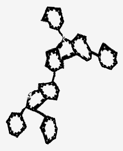 c1ccc(-c2ccc3c(c2)c2cc(-c4ccc5c(-c6ccccc6)c(-c6ccccc6)sc5c4)ccc2n3-c2ccccc2)cc1